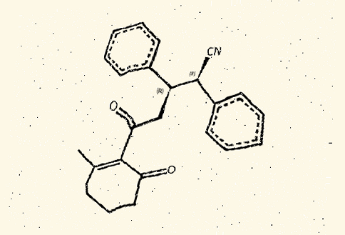 CC1=C(C(=O)C[C@@H](c2ccccc2)[C@@H](C#N)c2ccccc2)C(=O)CCC1